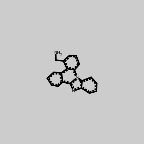 NCc1cccc2c1c1ccccc1c1nc3ccccc3n21